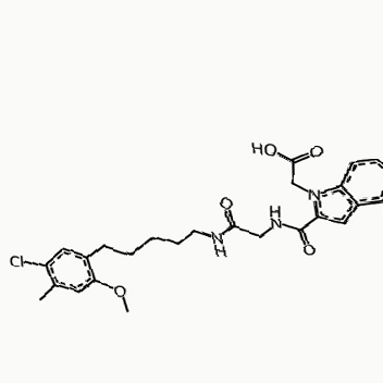 COc1cc(C)c(Cl)cc1CCCCCNC(=O)CNC(=O)c1cc2ccccc2n1CC(=O)O